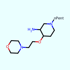 CCCCCN1CCC(OCCN2CCOCC2)C(N)C1